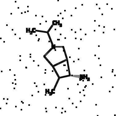 CC1C2CN(C(C)C)CC2[C@@H]1N